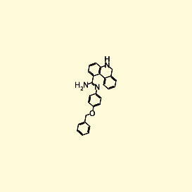 NC(=Nc1ccc(OCc2ccccc2)cc1)c1cccc2c1-c1ccccc1CN2